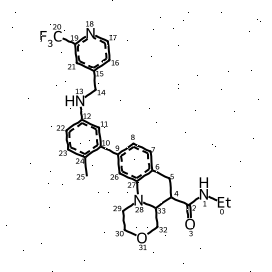 CCNC(=O)C1Cc2ccc(-c3cc(NCc4ccnc(C(F)(F)F)c4)ccc3C)cc2N2CCOCC12